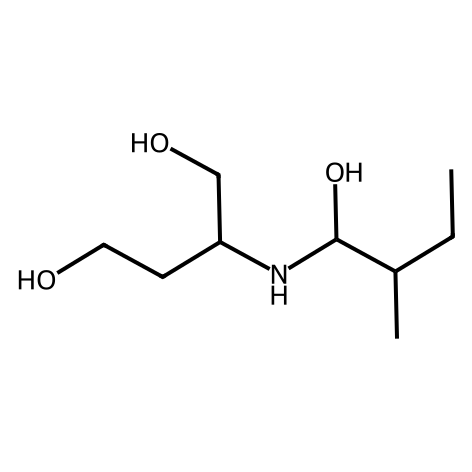 CCC(C)C(O)NC(CO)CCO